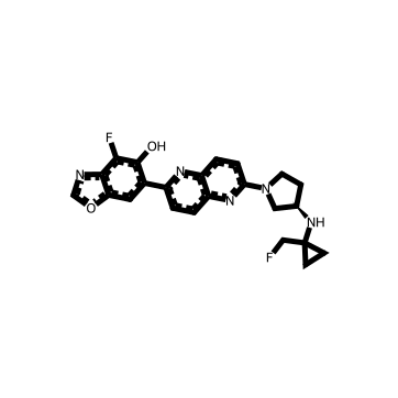 Oc1c(-c2ccc3nc(N4CC[C@@H](NC5(CF)CC5)C4)ccc3n2)cc2ocnc2c1F